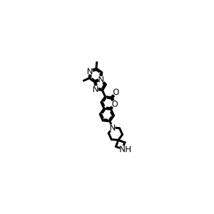 Cc1cn2cc(-c3cc4ccc(N5CCC6(CC5)CNC6)cc4oc3=O)nc2c(C)n1